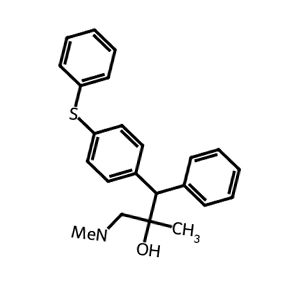 CNCC(C)(O)C(c1ccccc1)c1ccc(Sc2ccccc2)cc1